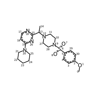 COc1ccc(S(=O)(=O)N2CCN(C(C)c3nccc(N4CCCCC4)n3)CC2)cc1